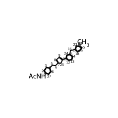 CC(=O)Nc1ccc(CCC2=CC=C(c3cccc(Cc4cccc(C)c4)c3)C2)cc1